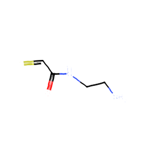 NCCNC(=O)C=S